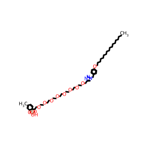 CCCCCCCCCCCCCCCCCCOc1ccc(Cn2cc(COCCOCCOCCOCCOCCOCCOCCOCCC3(S(=O)(=O)O)C=CC(C)=CC3)nn2)cc1